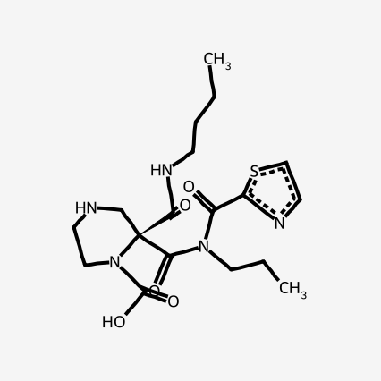 CCCCNC(=O)[C@]1(C(=O)N(CCC)C(=O)c2nccs2)CNCCN1C(=O)O